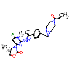 C=CC(=O)N1CCN(Cc2ccc(C(C)Nc3nc(F)cc(N4C(=O)OC[C@@H]4C(C)C)n3)cc2)CC1